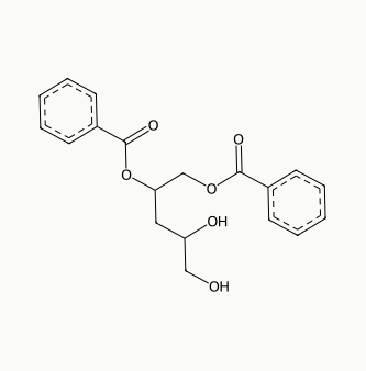 O=C(OCC(CC(O)CO)OC(=O)c1ccccc1)c1ccccc1